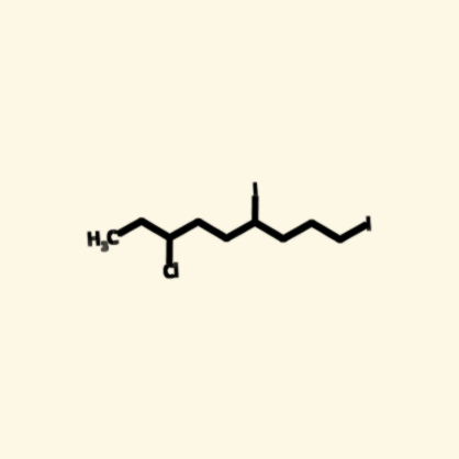 CCC(Cl)CCC(I)CCCI